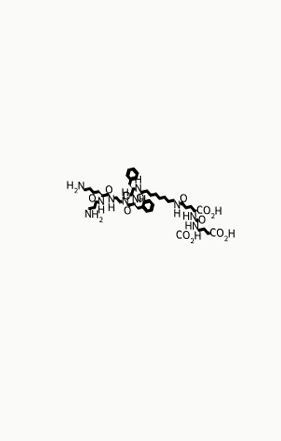 NCCCC[C@H](NC(=O)CCN)C(=O)NCCNC(=O)[C@H](Cc1ccccc1)NC(=O)[C@H](Cc1ccccc1)NC(=O)CCCCCCCNC(=O)CC[C@H](NC(=O)N[C@@H](CCC(=O)O)C(=O)O)C(=O)O